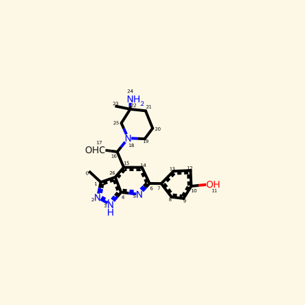 Cc1n[nH]c2nc(-c3ccc(O)cc3)cc(C(C=O)N3CCCC(C)(N)C3)c12